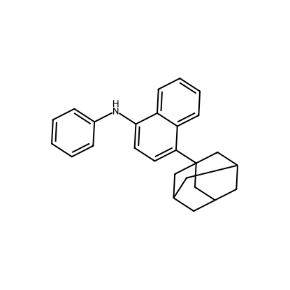 c1ccc(Nc2ccc(C34CC5CC(CC(C5)C3)C4)c3ccccc23)cc1